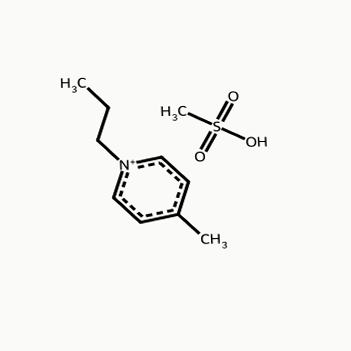 CCC[n+]1ccc(C)cc1.CS(=O)(=O)O